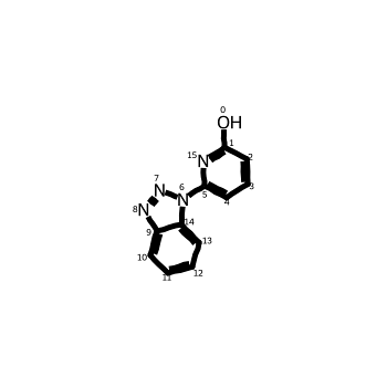 Oc1cccc(-n2nnc3ccccc32)n1